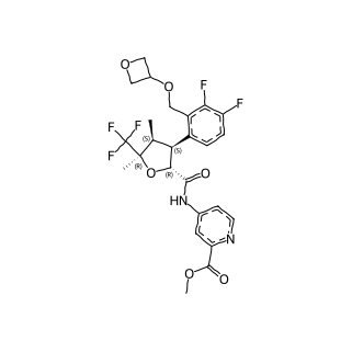 COC(=O)c1cc(NC(=O)[C@@H]2O[C@@](C)(C(F)(F)F)[C@@H](C)[C@H]2c2ccc(F)c(F)c2COC2COC2)ccn1